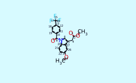 COC(=O)Cc1cn(C(=O)c2ccc(C(F)(F)F)cc2)c2ccc(OC)cc12